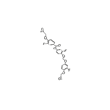 O=C(Oc1ccc(OCOc2ccc(OCC3CO3)c(F)c2)c(F)c1)c1ccc(OCC2CO2)c(F)c1